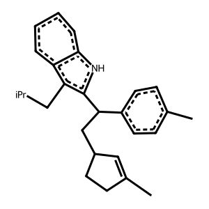 CC1=CC(CC(c2ccc(C)cc2)c2[nH]c3ccccc3c2CC(C)C)CC1